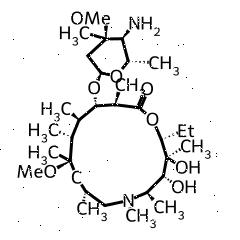 CC[C@H]1OC(=O)[C@H](C)[C@@H](O[C@H]2C[C@@](C)(OC)[C@@H](N)[C@H](C)O2)[C@H](C)[C@@H](C)[C@](C)(OC)C[C@@H](C)CN(C)[C@H](C)[C@@H](O)[C@]1(C)O